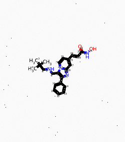 CC(C)(C)CNCc1c(-c2ccccc2)nc2cc(C=CC(=O)NO)ccn12